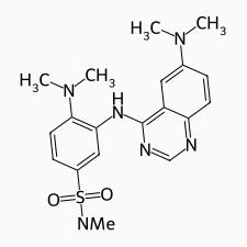 CNS(=O)(=O)c1ccc(N(C)C)c(Nc2ncnc3ccc(N(C)C)cc23)c1